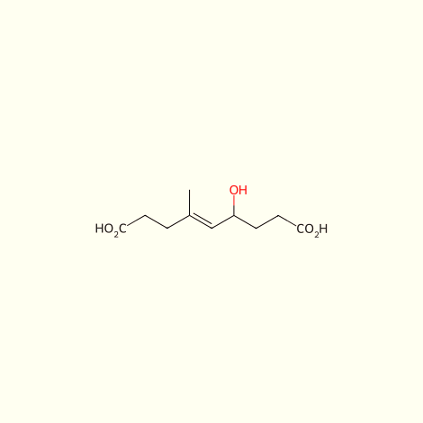 C/C(=C\C(O)CCC(=O)O)CCC(=O)O